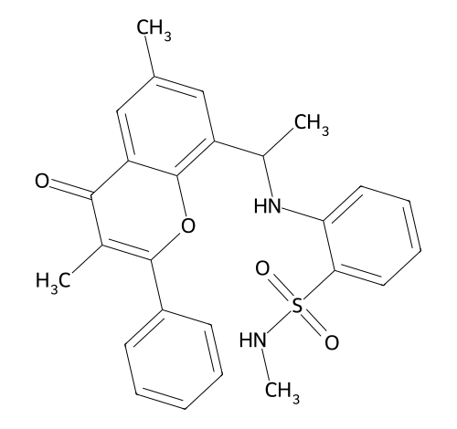 CNS(=O)(=O)c1ccccc1NC(C)c1cc(C)cc2c(=O)c(C)c(-c3ccccc3)oc12